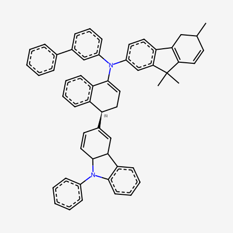 CC1C=CC2=C(C1)c1ccc(N(C3=CC[C@@H](C4=CC5c6ccccc6N(c6ccccc6)C5C=C4)c4ccccc43)c3cccc(-c4ccccc4)c3)cc1C2(C)C